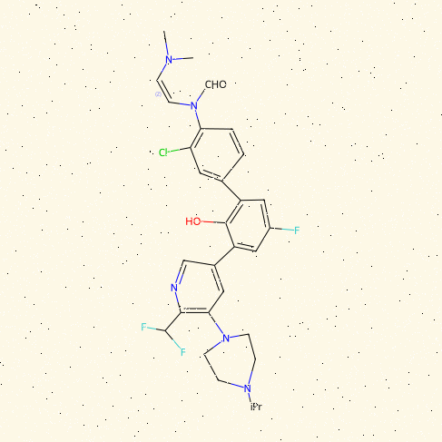 CC(C)N1CCN(c2cc(-c3cc(F)cc(-c4ccc(N(C=O)/C=C\N(C)C)c(Cl)c4)c3O)cnc2C(F)F)CC1